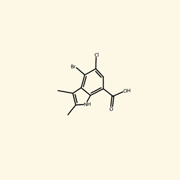 Cc1[nH]c2c(C(=O)O)cc(Cl)c(Br)c2c1C